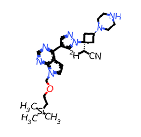 [2H]C(C#N)[C@]1(n2cc(-c3ncnc4c3ccn4COCC[Si](C)(C)C)cn2)C[C@H](N2CCNCC2)C1